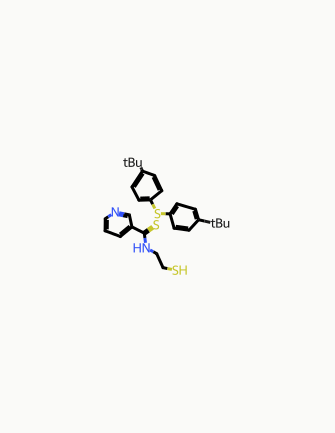 CC(C)(C)c1ccc(Sc2ccc(C(C)(C)C)cc2)cc1.S=C(NCCS)c1cccnc1